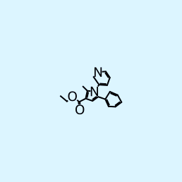 CCOC(=O)c1cc(-c2ccccc2)n(-c2cccnc2)c1C